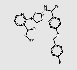 CCC(N[C@@H]1CCN(c2ncccc2C(=O)OC(C)C)C1)c1ccc(OCc2ccc(F)cc2)cc1